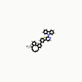 C=C1/C=C\C=C/Cc2ccc(-c3ccc4sc5c(-n6c7ccccc7c7ccccc76)nccc5c4c3)cc2-c2ccccc21